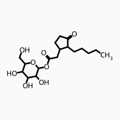 CCCCCC1C(=O)CCC1CC(=O)OC1OC(CO)C(O)C(O)C1O